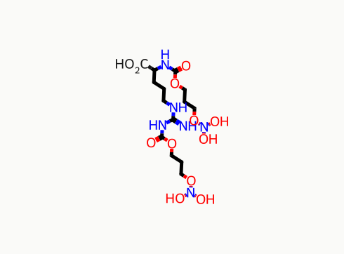 N=C(NCCCC(NC(=O)OCCCON(O)O)C(=O)O)NC(=O)OCCCON(O)O